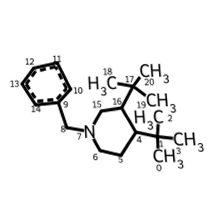 CC(C)(C)C1CCN(Cc2ccccc2)CC1C(C)(C)C